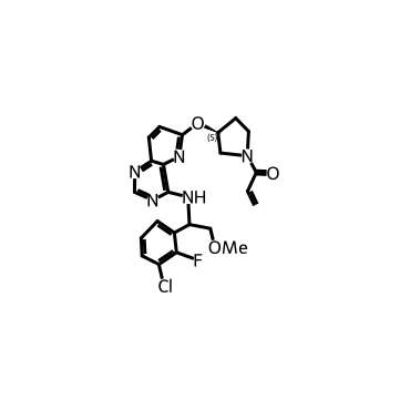 C=CC(=O)N1CC[C@H](Oc2ccc3ncnc(NC(COC)c4cccc(Cl)c4F)c3n2)C1